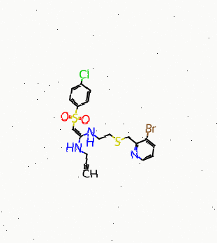 C#CCNC(=CS(=O)(=O)c1ccc(Cl)cc1)NCCSCc1ncccc1Br